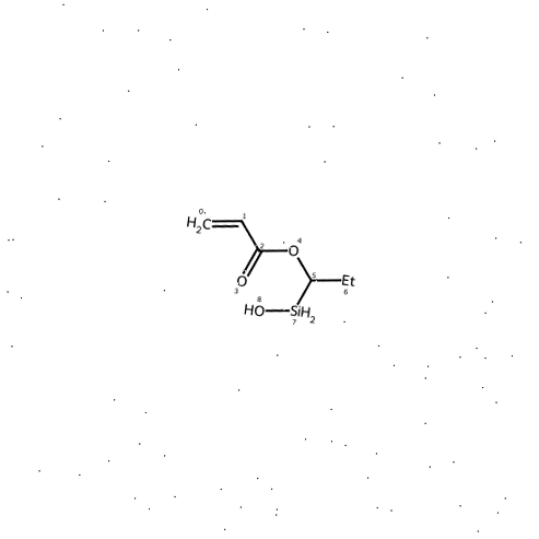 C=CC(=O)OC(CC)[SiH2]O